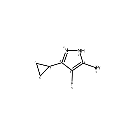 CC(C)c1[nH]nc(C2CC2)c1F